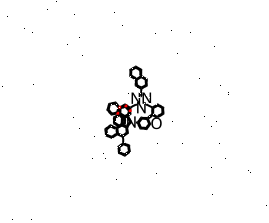 c1ccc(-c2cc3c(c4ccccc24)c2c4ccccc4ccc2n3-c2ccc3oc4cccc(-c5nc(-c6ccc7ccccc7c6)nc(-c6ccc7ccccc7c6)n5)c4c3c2)cc1